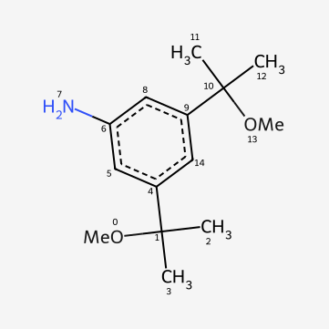 COC(C)(C)c1cc(N)cc(C(C)(C)OC)c1